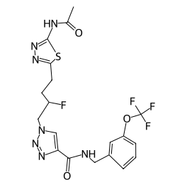 CC(=O)Nc1nnc(CCC(F)Cn2cc(C(=O)NCc3cccc(OC(F)(F)F)c3)nn2)s1